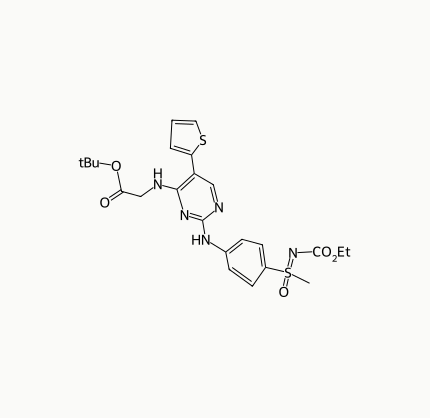 CCOC(=O)N=S(C)(=O)c1ccc(Nc2ncc(-c3cccs3)c(NCC(=O)OC(C)(C)C)n2)cc1